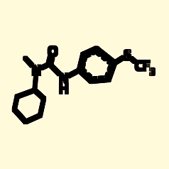 CN(C(=O)Nc1ccc(SC(F)(F)F)cc1)C1CCCCC1